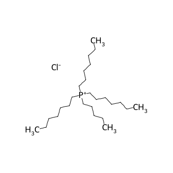 CCCCCCC[P+](CCCCC)(CCCCCCC)CCCCCCC.[Cl-]